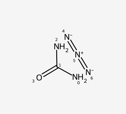 NC(N)=O.[N-]=[N+]=[N-]